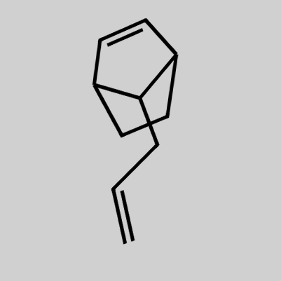 C=CCC1C2C=CC1CC2